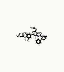 CN(C)CC(=O)Nc1c(Cl)cc(CN/C(=N/C(=O)C2C3CC3CN2c2ccccc2)NC(=O)OC(C)(C)C)cc1Cl